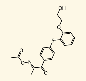 CC(=O)ON=C(C)C(=O)c1ccc(Sc2ccccc2OCCO)cc1